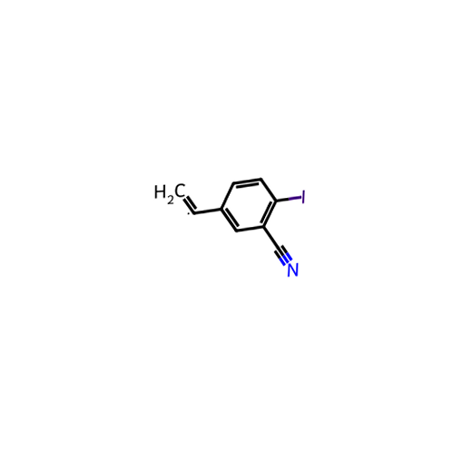 C=[C]c1ccc(I)c(C#N)c1